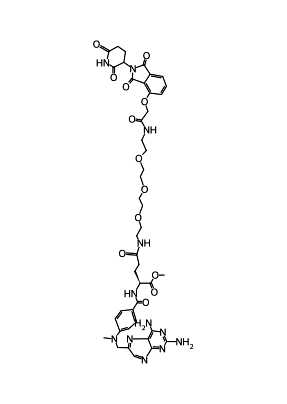 COC(=O)[C@H](CCC(=O)NCCOCCOCCOCCNC(=O)COc1cccc2c1C(=O)N(C1CCC(=O)NC1=O)C2=O)NC(=O)c1ccc(N(C)Cc2cnc3nc(N)nc(N)c3n2)cc1